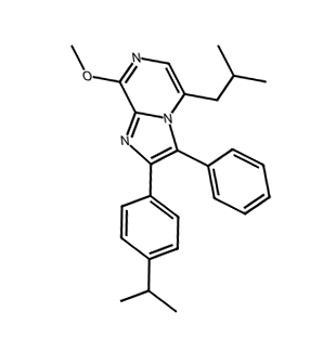 COc1ncc(CC(C)C)n2c(-c3ccccc3)c(-c3ccc(C(C)C)cc3)nc12